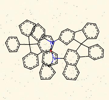 c1ccc(N(c2ccccc2)c2ccc3c(c2)C2(c4ccccc4-3)c3ccccc3-c3c2cc(N(c2ccccc2)c2cccc4c2-c2ccccc2C4(c2ccccc2)c2ccccc2)c2ccccc32)cc1